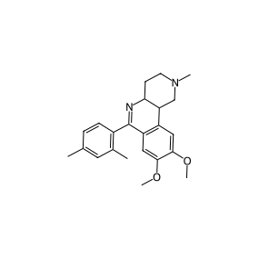 COc1cc2c(cc1OC)C1CN(C)CCC1N=C2c1ccc(C)cc1C